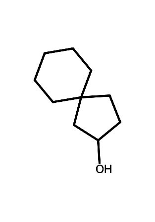 OC1CCC2(CCCCC2)C1